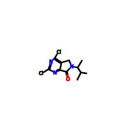 CC(C)C(C)N1Cc2c(Cl)nc(Cl)nc2C1=O